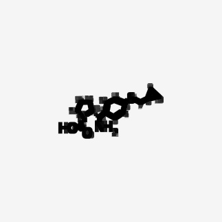 NC(c1ccc(SCC2CC2)cc1)[C@H]1CCCN1C(=O)O